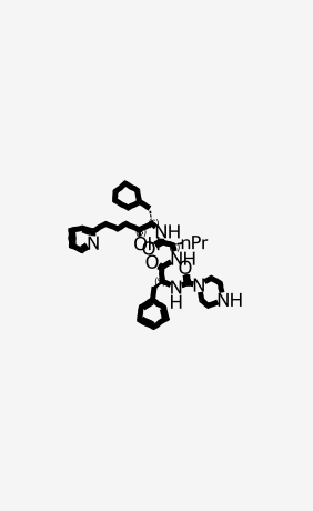 CCC[C@H](NC(=O)[C@H](Cc1ccccc1)NC(=O)N1CCNCC1)C(=O)N[C@@H](CC1CCCCC1)[C@@H](O)CCCc1ccccn1